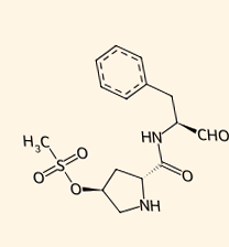 CS(=O)(=O)O[C@@H]1CN[C@@H](C(=O)N[C@H](C=O)Cc2ccccc2)C1